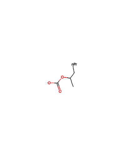 CCCCC(C)OC([O])=O